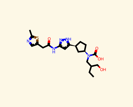 CCC(CO)CN(C(=O)O)[C@@H]1CC[C@H](c2cc(NC(=O)Cc3cnc(C)s3)n[nH]2)C1